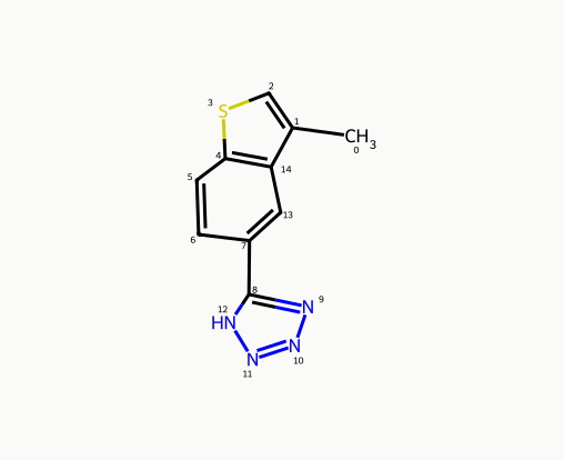 Cc1csc2ccc(-c3nnn[nH]3)cc12